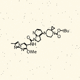 COc1nc2nc(C)cn2cc1NC(=O)N1CCc2c(N3CCN(C(=O)OC(C)(C)C)C4(CC4)C3)ccnc21